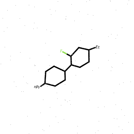 CCCC1CCC(C2CCC(CC)CC2F)CC1